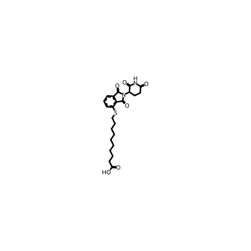 O=C(O)CCCCCCCCCSc1cccc2c1C(=O)N(C1CCC(=O)NC1=O)C2=O